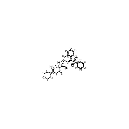 CC(CC(=O)N1CCOCC1)[C@H](N)C(=O)N[C@H](/C=C/S(=O)(=O)c1ccccc1)Cc1ccccc1